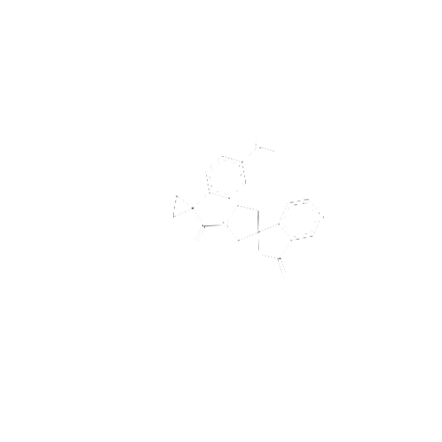 O=C(O)Nc1ccc(C2(C(=O)N3CCC4(C3)OC(=O)c3cnccc34)CC2)cc1